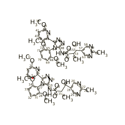 COc1cccc(-c2nnc(NS(=O)(=O)[C@@H](C)[C@@H](O)c3cnc(C)nc3)n2-c2c(OC)cccc2OC)n1.COc1cccc(-c2nnc(NS(=O)(=O)[C@H](C)[C@H](O)c3cnc(C)nc3)n2-c2c(OC)cccc2OC)n1